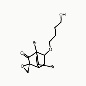 O=C1C2(Br)C=C(Br)C(CC2OCCCCO)[C@@]12CO2